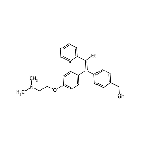 CC/C(=C(\c1ccc(CO)cc1)c1ccc(OCCN(C)C)cc1)c1ccccc1